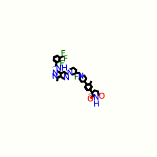 Cc1cc([C@@]2(C)CCC(=O)NC2=O)ccc1C1CCN(C[C@@]2(F)CCCN(c3cc4c(N[C@H](C)c5cccc(C(F)F)c5F)nnc(C)c4cn3)C2)CC1